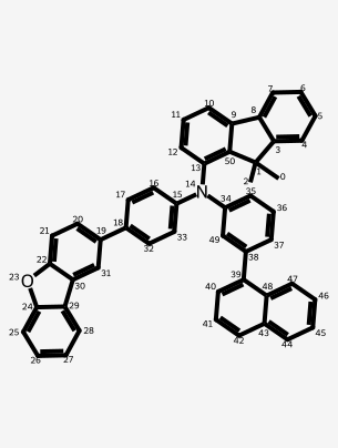 CC1(C)c2ccccc2-c2cccc(N(c3ccc(-c4ccc5oc6ccccc6c5c4)cc3)c3cccc(-c4cccc5ccccc45)c3)c21